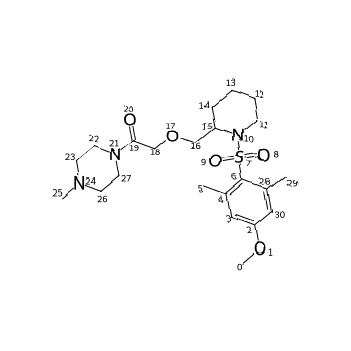 COc1cc(C)c(S(=O)(=O)N2CCCCC2COCC(=O)N2CCN(C)CC2)c(C)c1